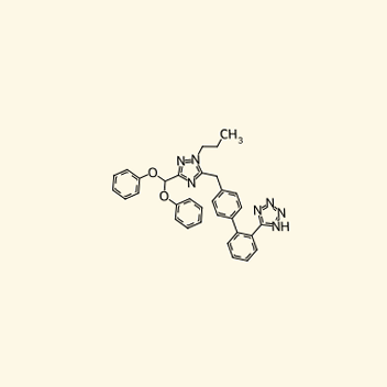 CCCn1nc(C(Oc2ccccc2)Oc2ccccc2)nc1Cc1ccc(-c2ccccc2-c2nnn[nH]2)cc1